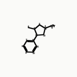 CCCN1CC(C)C(c2ccccc2)C1